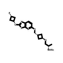 CC(=O)N[C@@H](C)CO[C@H]1C[C@H](COc2ccc3nc(O[C@H]4C[C@@H](F)C4)sc3n2)C1